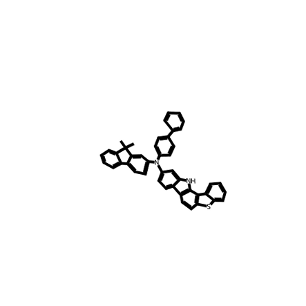 CC1(C)c2ccccc2-c2ccc(N(c3ccc(-c4ccccc4)cc3)c3ccc4c(c3)[nH]c3c4ccc4sc5ccccc5c43)cc21